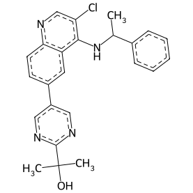 CC(Nc1c(Cl)cnc2ccc(-c3cnc(C(C)(C)O)nc3)cc12)c1ccccc1